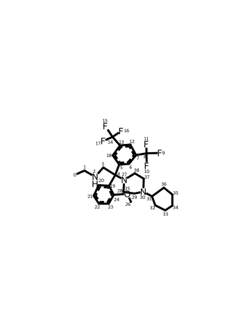 CCNCC(c1cc(C(F)(F)F)cc(C(F)(F)F)c1)(c1ccccc1OC)N1CCN(C2CCCCC2)CC1